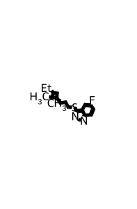 CCC1CC(CCCSc2ncnc3ccc(F)cc23)C1(C)C